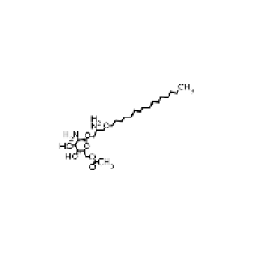 CCCCCCCCCCCCCCCCOCC(N)CO[C@@H]1OC(COC(C)=O)[C@@H](O)[C@H](O)C1N